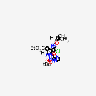 CCOC(=O)C1CC=C(c2c(C(C)NC(=O)c3c(NC(=O)OC(C)(C)C)nn4cccnc34)cc(Cl)c3cn(COCC[Si](C)(C)C)nc23)CC1